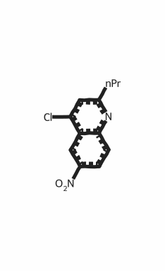 CCCc1cc(Cl)c2cc([N+](=O)[O-])ccc2n1